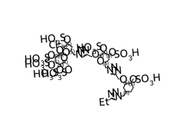 CCc1cn(C[C@@H]2CC[C@H](OS(=O)(=O)O)[C@@H](OCc3cn(C[C@@H]4C[C@H](OS(=O)(=O)O)[C@H](OS(=O)(=O)O)[C@@H](OCc5cn(C[C@@H]6C[C@H](OS(=O)(=O)O)[C@](CCl)(O[C@H]7O[C@H](COS(=O)(=O)O)[C@H](OS(=O)(=O)O)[C@H](OS(=O)(=O)O)[C@H]7OS(=O)(=O)O)O6)nn5)O4)nn3)C2)nn1